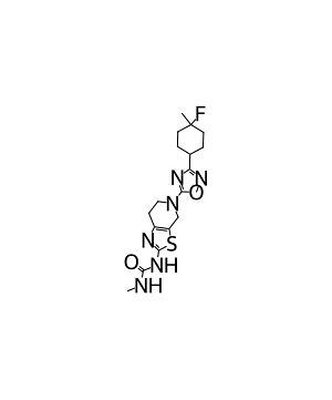 CNC(=O)Nc1nc2c(s1)CN(c1nc(C3CCC(C)(F)CC3)no1)CC2